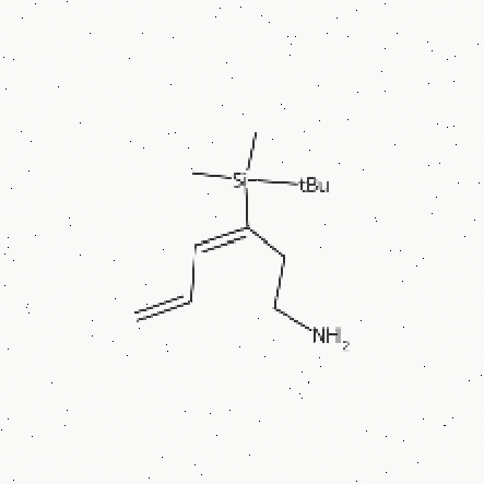 C=CC=C(CCN)[Si](C)(C)C(C)(C)C